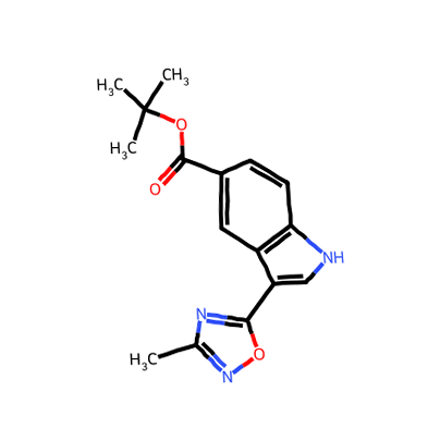 Cc1noc(-c2c[nH]c3ccc(C(=O)OC(C)(C)C)cc23)n1